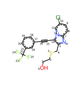 OCCSCc1nc2ccc(Cl)cn2c1C#Cc1cccc(C(F)(F)F)c1